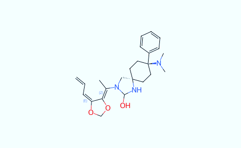 C=C/C=C1/OCO/C1=C(/C)N1C[C@]2(CC[C@](c3ccccc3)(N(C)C)CC2)NC1O